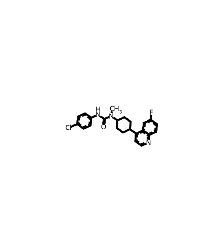 CN(C(=O)Nc1ccc(Cl)cc1)C1CCC(c2ccnc3ccc(F)cc23)CC1